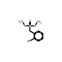 COP(=O)(Cc1ccccc1Br)OC